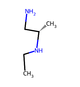 CCN[C@@H](C)CN